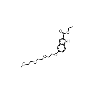 CCOC(=O)c1cc2cc(OCCOCCOCCOC)ccc2[nH]1